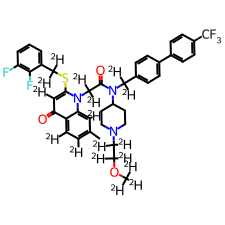 [2H]c1c(C)c([2H])c2c(c1[2H])c(=O)c([2H])c(SC([2H])([2H])c1cccc(F)c1F)n2C([2H])([2H])C(=O)N(C1CCN(C([2H])([2H])C([2H])([2H])OC([2H])([2H])[2H])CC1)C([2H])([2H])c1ccc(-c2ccc(C(F)(F)F)cc2)cc1